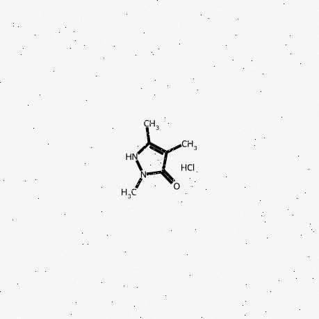 Cc1[nH]n(C)c(=O)c1C.Cl